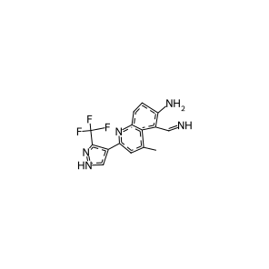 Cc1cc(-c2c[nH]nc2C(F)(F)F)nc2ccc(N)c(C=N)c12